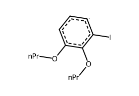 CCCOc1cc[c]c(I)c1OCCC